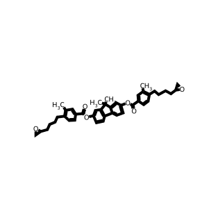 Cc1cc(C(=O)Oc2ccc3c(c2)C(C)(C)c2cc(OC(=O)c4ccc(CCCCC5CO5)c(C)c4)ccc2-3)ccc1CCCCC1CO1